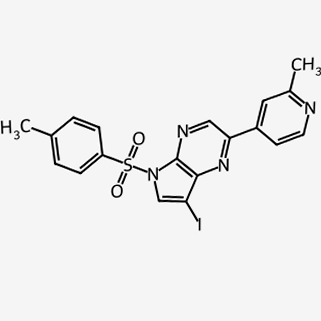 Cc1ccc(S(=O)(=O)n2cc(I)c3nc(-c4ccnc(C)c4)cnc32)cc1